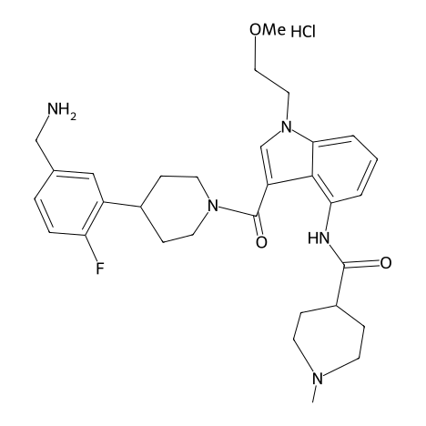 COCCn1cc(C(=O)N2CCC(c3cc(CN)ccc3F)CC2)c2c(NC(=O)C3CCN(C)CC3)cccc21.Cl